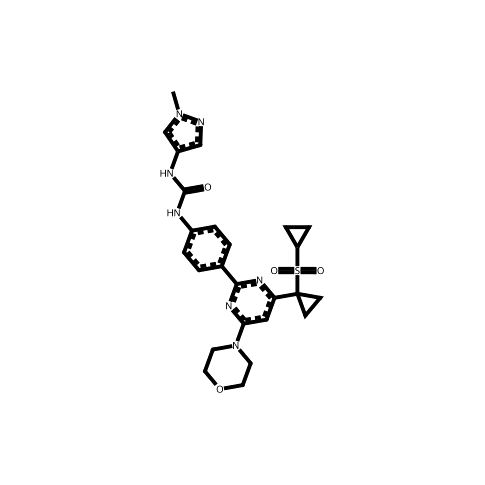 Cn1cc(NC(=O)Nc2ccc(-c3nc(N4CCOCC4)cc(C4(S(=O)(=O)C5CC5)CC4)n3)cc2)cn1